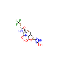 O=C(CSC(F)(F)F)NC1C(=O)N2C(C(=O)O)=C(CSc3n[nH]c(O)n3)CS[C@@H]12